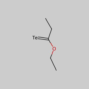 CCOC(=[Te])CC